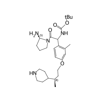 Cc1cc(OCC[C@@H](C)C2CCNCC2)ccc1C(NC(=O)OC(C)(C)C)C(=O)N1CCC[C@H]1N